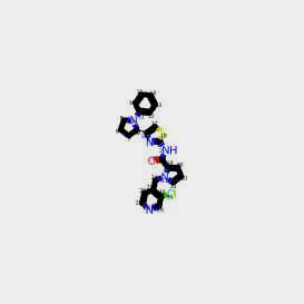 O=C(Nc1nc([C@@H]2CCCN2c2ccccc2)cs1)c1cccn1Cc1ccncc1Cl